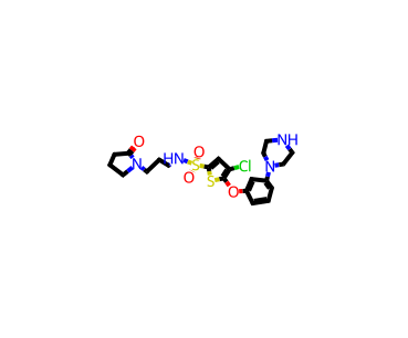 O=C1CCCN1CCCNS(=O)(=O)c1cc(Cl)c(Oc2cccc(N3CCNCC3)c2)s1